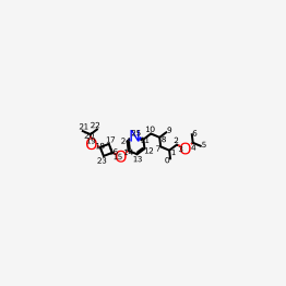 CC(COC(C)C)CC(C)Cc1ccc(OC2CC(OC(C)C)C2)cn1